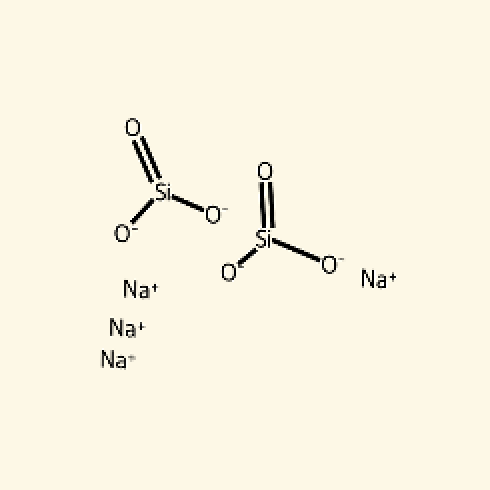 O=[Si]([O-])[O-].O=[Si]([O-])[O-].[Na+].[Na+].[Na+].[Na+]